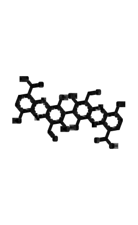 O=Cc1c(O)c(-c2c(O)c(C=O)c3nc4c(O)ccc(C(=O)O)c4nc3c2O)c(O)c2nc3c(C(=O)O)ccc(O)c3nc12